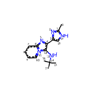 Cc1nc(-c2nc3ccccn3c2NC(C)(C)C)c[nH]1